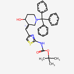 CC(C)(C)OC(=O)Nc1nc(/C=C2\CN(C(c3ccccc3)(c3ccccc3)c3ccccc3)CCC2O)cs1